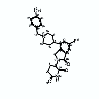 O=C1CCC(N2Cc3c(cc(F)cc3C3CCN(Cc4ccc(O)cc4)CC3)C2=O)C(=O)N1